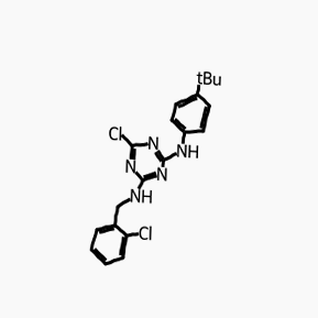 CC(C)(C)c1ccc(Nc2nc(Cl)nc(NCc3ccccc3Cl)n2)cc1